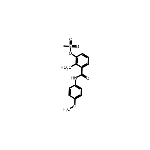 CS(=O)(=O)Oc1cccc(C(=O)Nc2ccc(OC(F)(F)F)cc2)c1C(=O)O